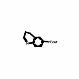 CCCCCc1ccc2c(c1)CCC=N2